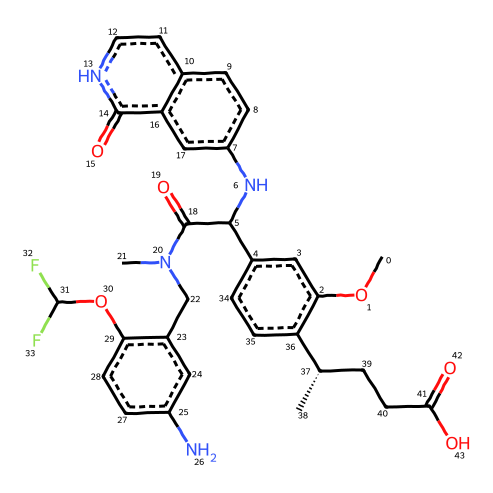 COc1cc(C(Nc2ccc3cc[nH]c(=O)c3c2)C(=O)N(C)Cc2cc(N)ccc2OC(F)F)ccc1[C@@H](C)CCC(=O)O